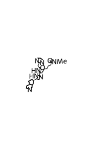 CNC(=O)CCCCC[C@H](NC(=O)Cc1ncccn1)c1ncc(-c2ccc3ccncc3c2)[nH]1